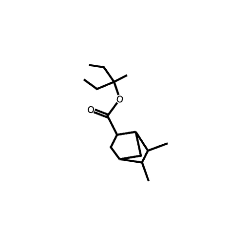 CCC(C)(CC)OC(=O)C1CC2CC1C(C)C2C